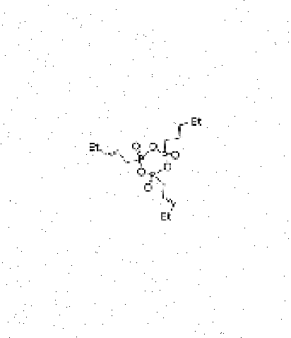 CC/C=C/CP1(=O)OP(=O)(C/C=C/CC)OP(=O)(C/C=C/CC)O1